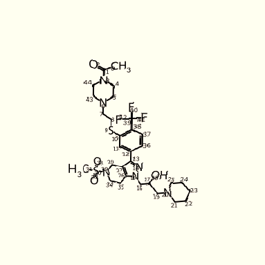 CC(=O)N1CCN(CCSc2cc(-c3nn(CC(O)CN4CCCCC4)c4c3CN(S(C)(=O)=O)CC4)ccc2C(F)(F)F)CC1